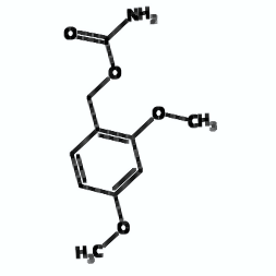 COc1ccc(COC(N)=O)c(OC)c1